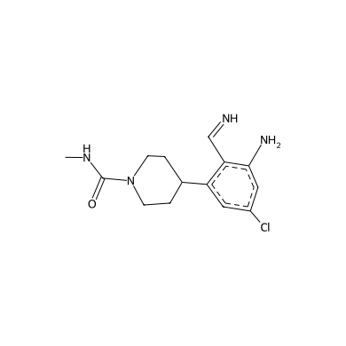 CNC(=O)N1CCC(c2cc(Cl)cc(N)c2C=N)CC1